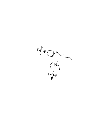 CCCCCC[n+]1ccccc1.CC[N+]1(C)CCCC1.F[B-](F)(F)F.F[B-](F)(F)F